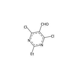 CCc1nc(Cl)c(C=O)c(Cl)n1